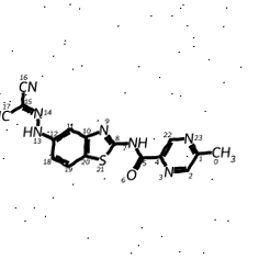 Cc1cnc(C(=O)Nc2nc3cc(NN=C(C#N)C#N)ccc3s2)cn1